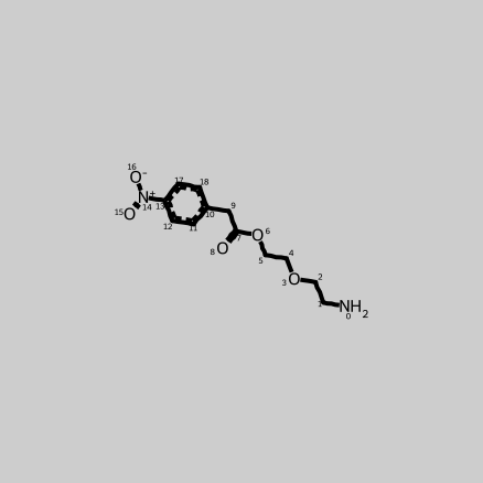 NCCOCCOC(=O)Cc1ccc([N+](=O)[O-])cc1